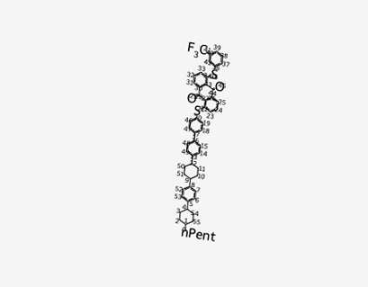 CCCCCC1CCC(c2ccc(C3CCC(c4ccc(-c5ccc(Sc6cccc7c6C(=O)c6cccc(Sc8cccc(C(F)(F)F)c8)c6C7=O)cc5)cc4)CC3)cc2)CC1